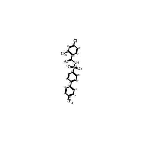 O=C(NS(=O)(=O)c1ccc(-c2ccc(C(F)(F)F)cc2)cc1)c1ccc(Cl)cc1Cl